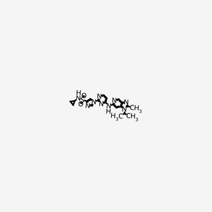 Cc1nc2cnc(Nc3ccnc(-n4cnc(S(=O)(=O)NC5CC5)c4)n3)cc2n1C(C)C